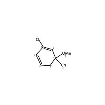 COC1(C#N)[CH]C=CC(Cl)=C1